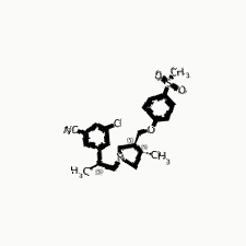 C[C@H](CN1C[C@@H](COc2ccc(S(C)(=O)=O)cc2)[C@H](C)C1)c1cc(Cl)cc(C#N)c1